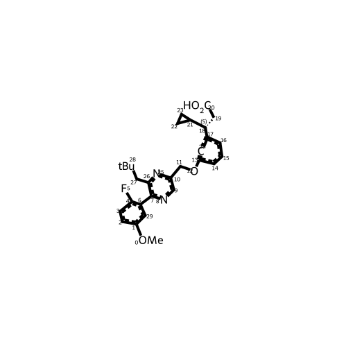 COc1ccc(F)c(-c2ncc(COc3cccc([C@@H](CC(=O)O)C4CC4)c3)nc2CC(C)(C)C)c1